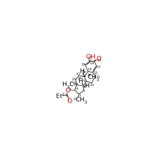 CCC(=O)OC1C(C)C[C@H]2[C@@H]3CCC4=CC(=O)C(O)=C[C@]4(C)[C@H]3CC[C@]12C